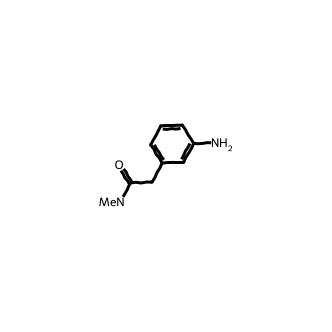 CNC(=O)Cc1cccc(N)c1